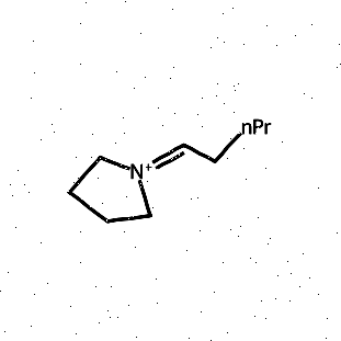 CCCCC=[N+]1CCCC1